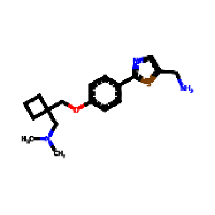 CN(C)CC1(COc2ccc(-c3ncc(CN)s3)cc2)CCC1